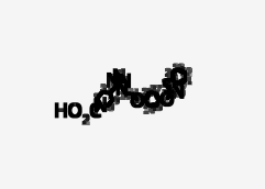 O=C(O)N1CCC(c2nnnn2CCOc2ccc(Oc3nc4ccccc4s3)cc2)CC1